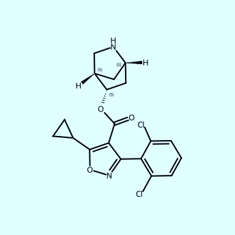 O=C(O[C@H]1C[C@@H]2C[C@H]1CN2)c1c(-c2c(Cl)cccc2Cl)noc1C1CC1